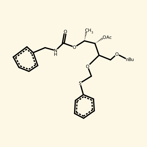 CCCCOCC(OCSc1ccccc1)[C@@H](OC(C)=O)[C@@H](C)OC(=O)NCc1ccccc1